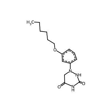 CCCCCCOc1cccc(N2CC(=O)NC(=O)N2)c1